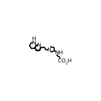 O=C(O)CCNC1CCN(CCc2ccc3c(n2)NCCC3)C1